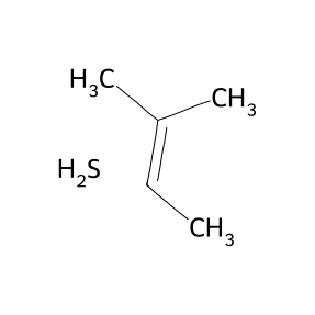 CC=C(C)C.S